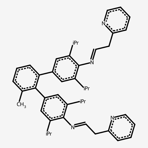 Cc1cccc(-c2cc(C(C)C)c(N=CCc3ccccn3)c(C(C)C)c2)c1-c1cc(C(C)C)c(N=CCc2ccccn2)c(C(C)C)c1